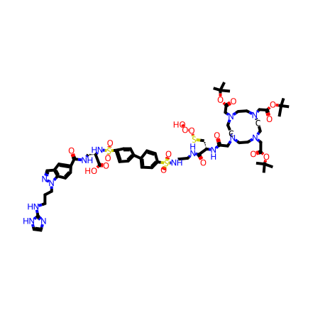 CC(C)(C)OC(=O)CN1CCN(CC(=O)N[C@@H](CSOOO)C(=O)NCCNS(=O)(=O)c2ccc(-c3ccc(S(=O)(=O)N[C@@H](CNC(=O)c4ccc5c(cnn5CCCNc5ncc[nH]5)c4)C(=O)O)cc3)cc2)CCN(CC(=O)OC(C)(C)C)CCN(CC(=O)OC(C)(C)C)CC1